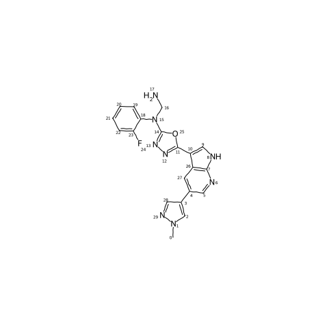 Cn1cc(-c2cnc3[nH]cc(-c4nnc(N(CN)c5ccccc5F)o4)c3c2)cn1